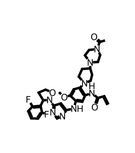 C=CC(=O)Nc1cc(Nc2cc(N3OCCC3c3c(F)cccc3F)ncn2)c(OC)cc1N1CCC(N2CCN(C(C)=O)CC2)CC1